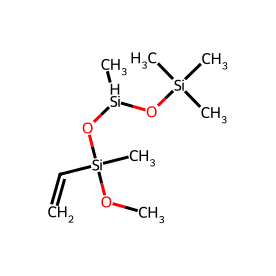 C=C[Si](C)(OC)O[SiH](C)O[Si](C)(C)C